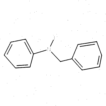 IN(Cc1ccccc1)c1ccccc1